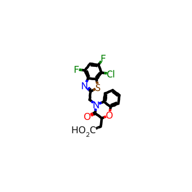 O=C(O)CC1Oc2ccccc2N(Cc2nc3c(F)cc(F)c(Cl)c3s2)C1=O